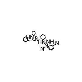 N#Cc1cccc(N(C#N)C(=N)N[C@@H]2CCCC[C@H]2CN2CC(=O)N[C@@H](Cc3ccccc3)C2)c1